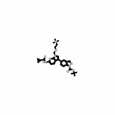 CC(C)(C)OC(=O)n1ncc2cc(-c3cn(COCC[Si](C)(C)C)c4nc(NC(=O)C5CC5)ccc34)ccc21